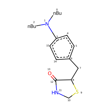 CCCCN(CCCC)c1ccc(CC2SCNC2=O)cc1